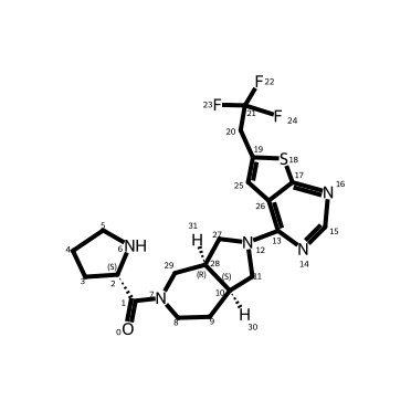 O=C([C@@H]1CCCN1)N1CC[C@@H]2CN(c3ncnc4sc(CC(F)(F)F)cc34)C[C@@H]2C1